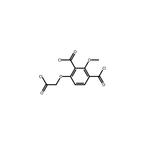 COc1c(C(=O)Cl)ccc(OCC(=O)Cl)c1C(=O)Cl